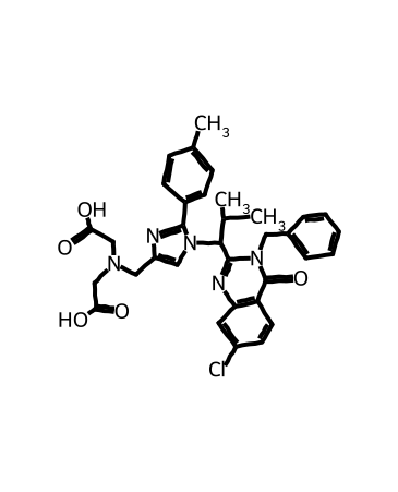 Cc1ccc(-c2nc(CN(CC(=O)O)CC(=O)O)cn2C(c2nc3cc(Cl)ccc3c(=O)n2Cc2ccccc2)C(C)C)cc1